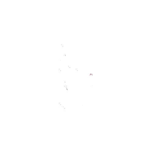 O=C1OCCCc2c(Cl)cc3[nH]ncc3c2-c2ncc3c(nc(OC[C@@]45CCCN4C[C@H](F)C5)nc3c2F)N2CCOC[C@H](C2)O1